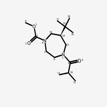 COC(=O)N1CCN(C(=O)C(C)C)C[C@H](C(C)(C)C)C1